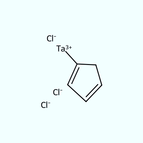 [Cl-].[Cl-].[Cl-].[Ta+3][C]1=CC=CC1